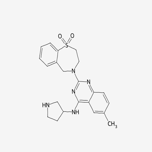 Cc1ccc2nc(N3CCS(=O)(=O)c4ccccc4C3)nc(NC3CCNC3)c2c1